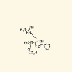 CCC(CN(C)C(=O)O)NC(=O)[C@H](CCCNC(=N)N)NC(=O)c1ccccc1